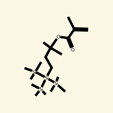 C=C(C)C(=O)OC(C)(C)CC[Si]([Si](C)(C)C)([Si](C)(C)C)[Si](C)(C)C